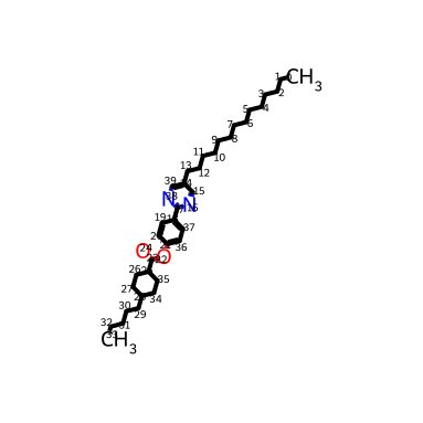 CCCCCCCCCCCCCCc1cnc(-c2ccc(OC(=O)C3CCC(CCCCC)CC3)cc2)nc1